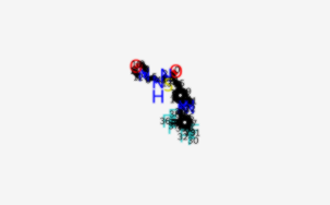 O=C1N=C(NCCN2CCOCC2)S/C1=C\c1ccc2c(cnn2Cc2ccc(C(F)(F)F)cc2C(F)(F)F)c1